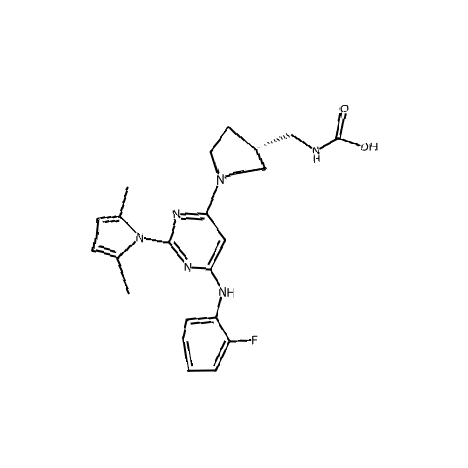 Cc1ccc(C)n1-c1nc(Nc2ccccc2F)cc(N2CC[C@H](CNC(=O)O)C2)n1